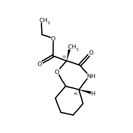 CCOC(=O)[C@@]1(C)OC2CCCC[C@H]2NC1=O